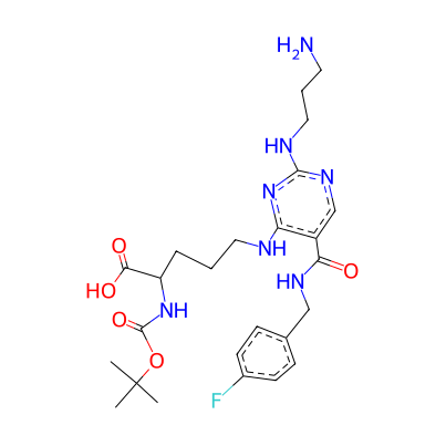 CC(C)(C)OC(=O)NC(CCCNc1nc(NCCCN)ncc1C(=O)NCc1ccc(F)cc1)C(=O)O